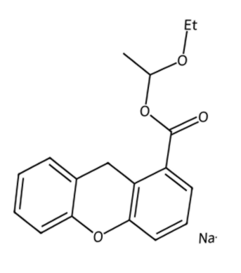 CCOC(C)OC(=O)c1cccc2c1Cc1ccccc1O2.[Na]